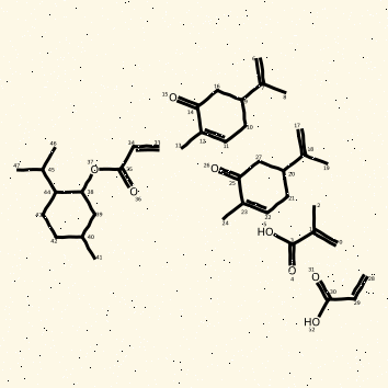 C=C(C)C(=O)O.C=C(C)C1CC=C(C)C(=O)C1.C=C(C)C1CC=C(C)C(=O)C1.C=CC(=O)O.C=CC(=O)OC1CC(C)CCC1C(C)C